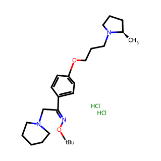 C[C@@H]1CCCN1CCCOc1ccc(C(CN2CCCCC2)=NOC(C)(C)C)cc1.Cl.Cl